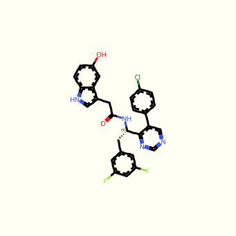 O=C(Cc1c[nH]c2ccc(O)cc12)N[C@@H](Cc1cc(F)cc(F)c1)c1ncncc1-c1ccc(Cl)cc1